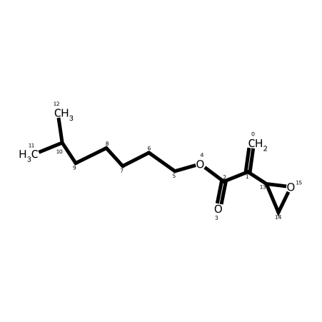 C=C(C(=O)OCCCCCC(C)C)C1CO1